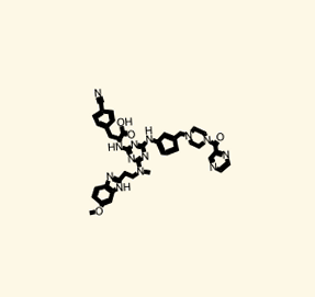 COc1ccc2nc(CCN(C)c3nc(Nc4cccc(CN5CCN(C(=O)c6cnccn6)CC5)c4)nc(NC(Cc4ccc(C#N)cc4)C(=O)O)n3)[nH]c2c1